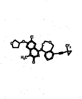 Cn1c(=O)nc(N2CCOCc3c(C#CC4(C(F)(F)F)CC4)cccc32)c2cc(Cl)c(O[C@H]3CCOC3)cc21